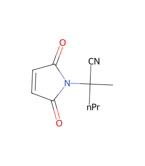 CCCC(C)(C#N)N1C(=O)C=CC1=O